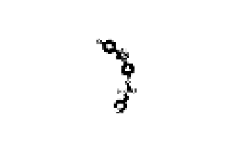 O=C(COc1ccc(-n2cc(-c3ccc(Br)cc3)nn2)cc1)NCC1CCOCC1